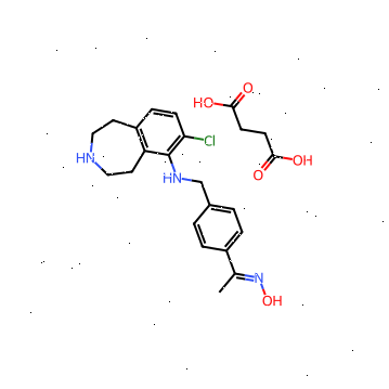 CC(=NO)c1ccc(CNc2c(Cl)ccc3c2CCNCC3)cc1.O=C(O)CCC(=O)O